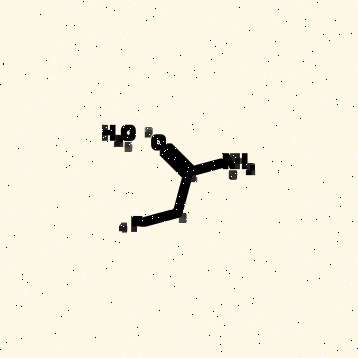 NC(=O)CF.O